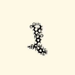 C=NOC(C)(CCc1ccc2c(=O)n([C@H](C)/C=C\C(F)=C/C)c(CCCCC(=O)O)nc2c1)/C(N)=N/c1ccc(C(F)(F)F)cc1C